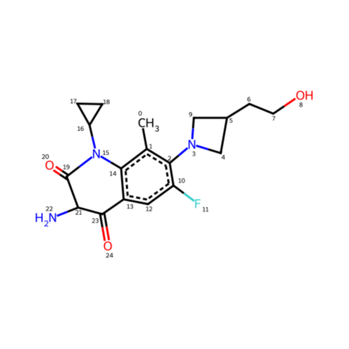 Cc1c(N2CC(CCO)C2)c(F)cc2c1N(C1CC1)C(=O)C(N)C2=O